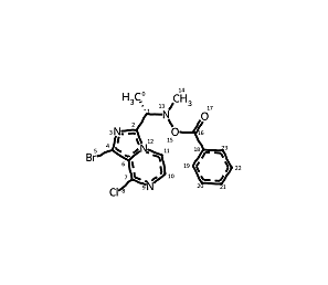 C[C@@H](c1nc(Br)c2c(Cl)nccn12)N(C)OC(=O)c1ccccc1